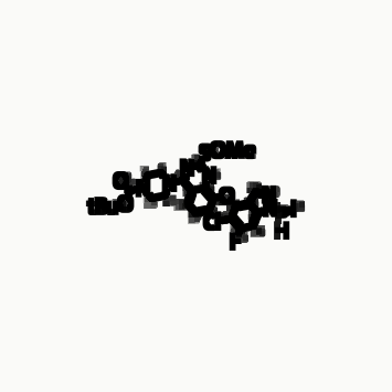 COSc1nc(N2CCN(C(=O)OC(C)(C)C)CC2)c2cccc(Oc3c(Cl)c(F)cc4c3cnn4PI)c2n1